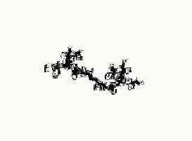 C=CC(=O)OCC(COC(=O)C=C)(COC(=O)C=C)COC(=O)NCCCCCCNC(=O)OCC(COC(=O)C=C)(COC(=O)C=C)COC(=O)CC